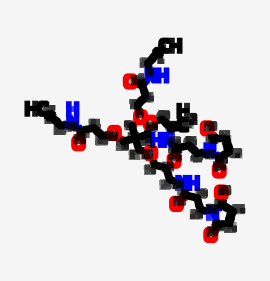 C#CCNC(=O)CCOCC(COCCCNC(=O)CCN1C(=O)C=CC1=O)(COCCC(=O)NCC#C)COCC(=C)NC(=O)CCN1C(=O)C=CC1=O